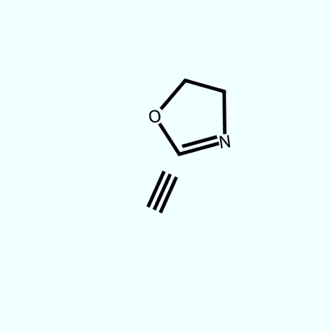 C#C.C1=NCCO1